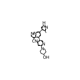 Cc1n[nH]cc1-c1cc(-c2ccc(N3CCC(O)CC3)nc2)c2c(C#N)cnn2c1